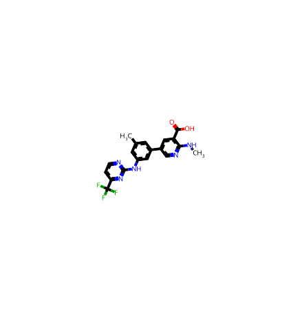 CNc1ncc(-c2cc(C)cc(Nc3nccc(C(F)(F)F)n3)c2)cc1C(=O)O